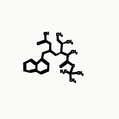 CC[C@H](C)[C@@H](CN(CC(=O)O)Cc1cccc2ccccc12)N(C)C(=O)OC(C)(C)C